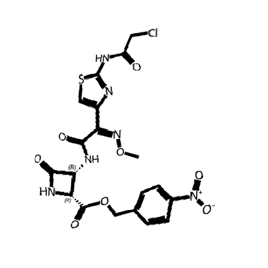 CON=C(C(=O)N[C@H]1C(=O)N[C@H]1C(=O)OCc1ccc([N+](=O)[O-])cc1)c1csc(NC(=O)CCl)n1